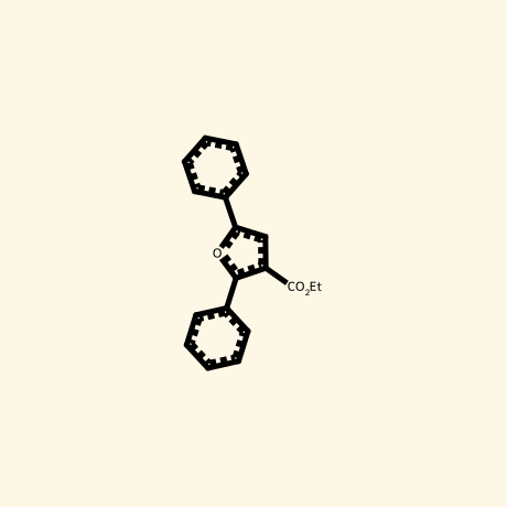 CCOC(=O)c1cc(-c2ccccc2)oc1-c1ccccc1